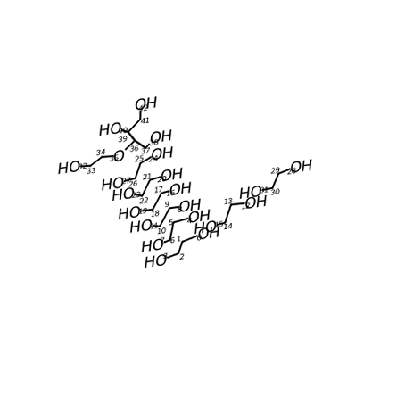 OCCO.OCCO.OCCO.OCCO.OCCO.OCCO.OCCO.OCCO.OCCOC(CO)C(O)CO